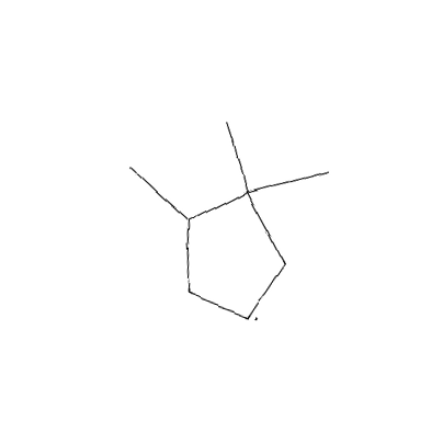 CC1C[CH]CC1(C)C